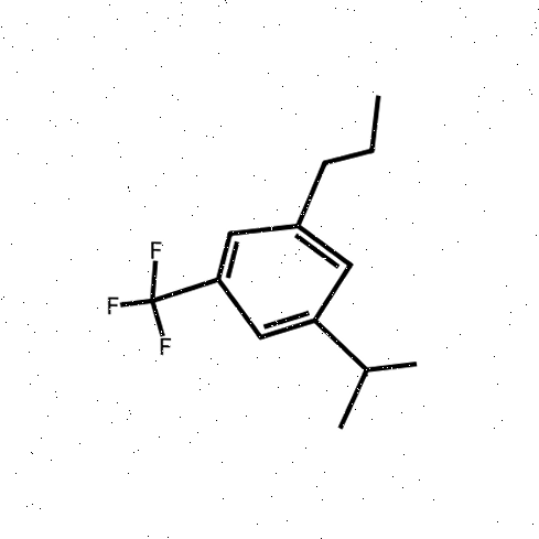 CCCc1cc([C](C)C)cc(C(F)(F)F)c1